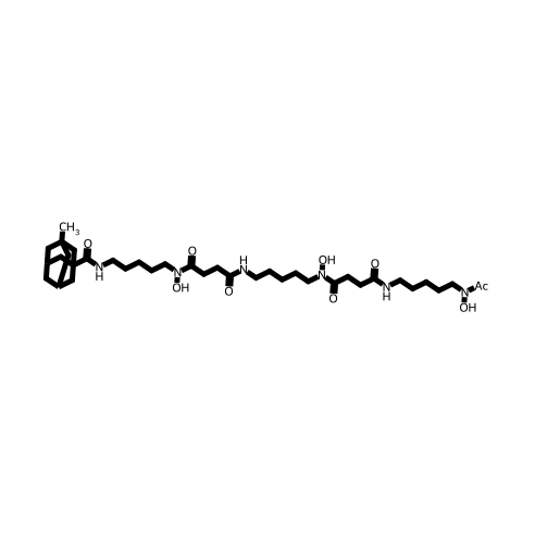 CC(=O)N(O)CCCCCNC(=O)CCC(=O)N(O)CCCCCNC(=O)CCC(=O)N(O)CCCCCNC(=O)C12CC3CC(CC(C)(C3)C1)C2